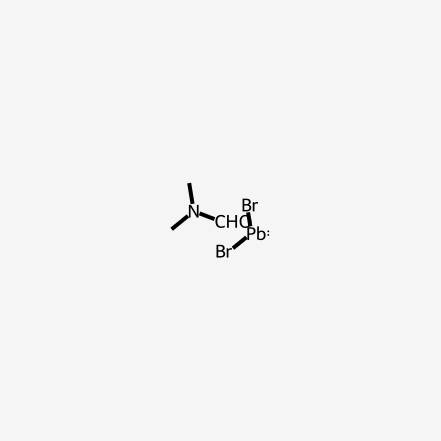 CN(C)C=O.[Br][Pb][Br]